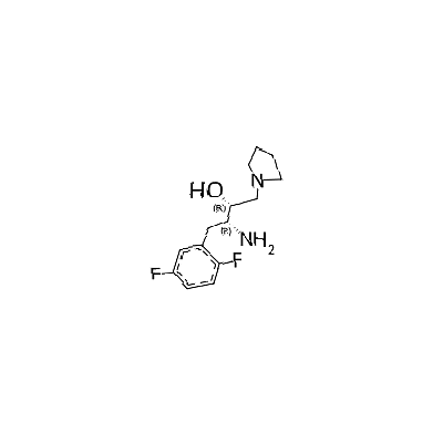 N[C@H](Cc1cc(F)ccc1F)[C@H](O)CN1CCCC1